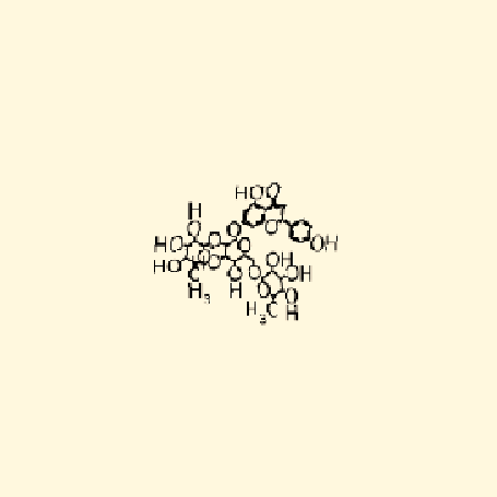 CC1OC(OCC2OC(Oc3cc(O)c4c(=O)cc(-c5ccc(O)cc5)oc4c3)C(OC3OC(C)C(O)C(O)C3O)C(O)C2O)C(O)C(O)C1O